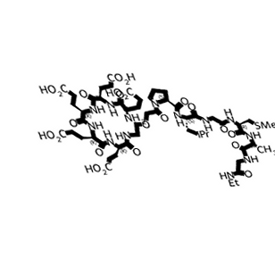 CCNC(=O)CNC(=O)[C@H](C)NC(=O)[C@H](CSC)NC(=O)CNC(=O)[C@H](CC(C)C)NC(=O)[C@@H]1CCCN1C(=O)COCCNC(=O)[C@@H](CCC(=O)O)NC(=O)[C@@H](CCC(=O)O)NC(=O)[C@@H](CCC(=O)O)NC(=O)[C@@H](CCC(=O)O)NC(=O)[C@H](N)CCC(=O)O